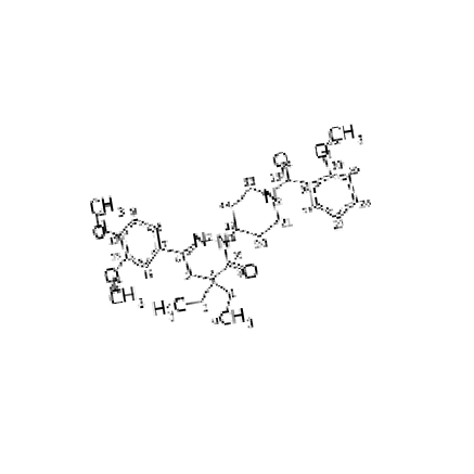 CCC1(CC)CC(c2ccc(OC)c(OC)c2)=NN(C2CCN(C(=O)c3ccccc3OC)CC2)C1=O